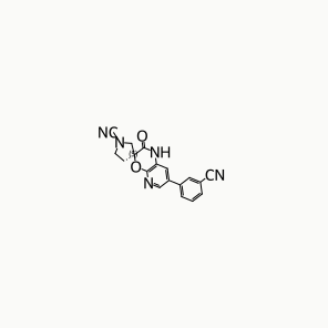 N#Cc1cccc(-c2cnc3c(c2)NC(=O)[C@@]2(CCN(C#N)C2)O3)c1